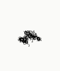 C[C@H]1Oc2cccnc2N(CC[C@H]2Oc3cccnc3N(C)C(=O)[C@H]2N)C(=O)[C@H]1NC(=O)c1cc(Cc2ccccc2)on1